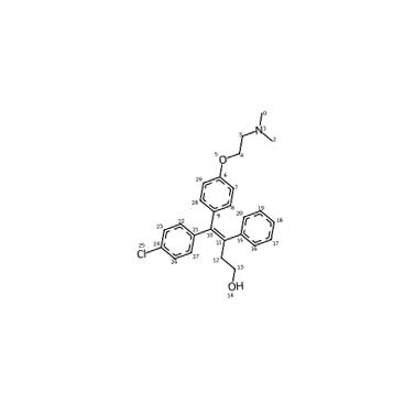 CN(C)CCOc1ccc(C(=C(CCO)c2ccccc2)c2ccc(Cl)cc2)cc1